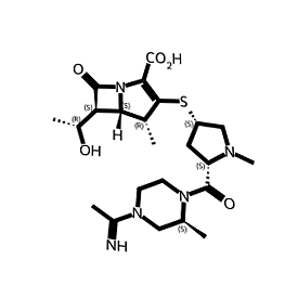 CC(=N)N1CCN(C(=O)[C@@H]2C[C@H](SC3=C(C(=O)O)N4C(=O)[C@H]([C@@H](C)O)[C@H]4[C@H]3C)CN2C)[C@@H](C)C1